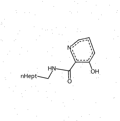 CCCCCCCCNC(=O)c1ncccc1O